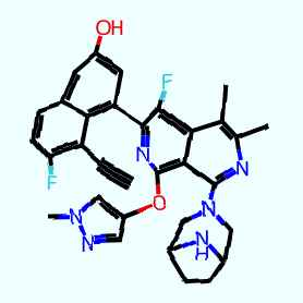 C#Cc1c(F)ccc2cc(O)cc(-c3nc(Oc4cnn(C)c4)c4c(N5CC6CCC(C5)N6)nc(C)c(C)c4c3F)c12